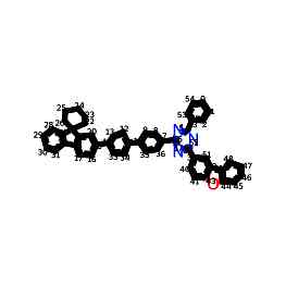 c1ccc(-c2nc(-c3ccc(-c4ccc(-c5ccc6c(c5)C5(CCCCC5)c5ccccc5-6)cc4)cc3)nc(-c3ccc4oc5ccccc5c4c3)n2)cc1